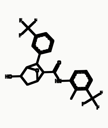 Cc1c(NC(=O)C2C3CC(O)C(O3)C2c2cccc(C(F)(F)F)c2)cccc1C(F)(F)F